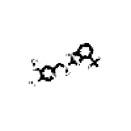 COc1cc(C[S+]([O-])c2nc3c(C(F)(F)F)cccc3[nH]2)ncc1C